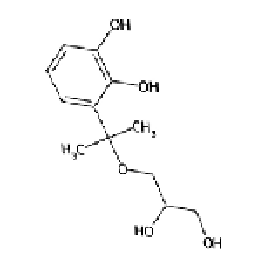 CC(C)(OCC(O)CO)c1cccc(O)c1O